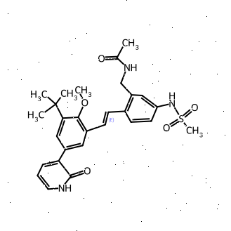 COc1c(/C=C/c2ccc(NS(C)(=O)=O)cc2CNC(C)=O)cc(-c2ccc[nH]c2=O)cc1C(C)(C)C